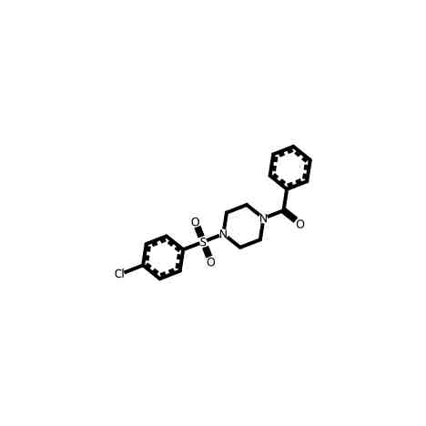 O=C(c1ccccc1)N1CCN(S(=O)(=O)c2ccc(Cl)cc2)CC1